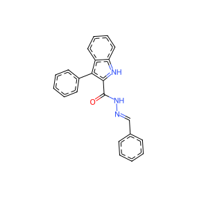 O=C(NN=Cc1ccccc1)c1[nH]c2ccccc2c1-c1ccccc1